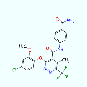 COc1cc(Cl)ccc1Oc1nnc(C(F)(F)F)c(C)c1C(=O)Nc1ccc(C(N)=O)cc1